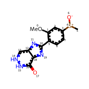 COc1cc([S+](C)[O-])ccc1-c1nc2c[nH][nH]c(=O)c-2n1